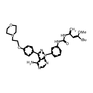 C=C(/C=C(\OC)C(C)(C)C)NC(=O)Nc1cccc(-n2nc(-c3ccc(OCCN4CCOCC4)cc3)c3c(N)ncnc32)c1